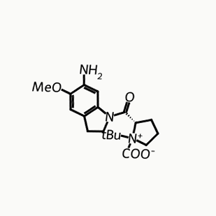 COc1cc2c(cc1N)N(C(=O)[C@@H]1CCC[N+]1(C(=O)[O-])C(C)(C)C)CC2